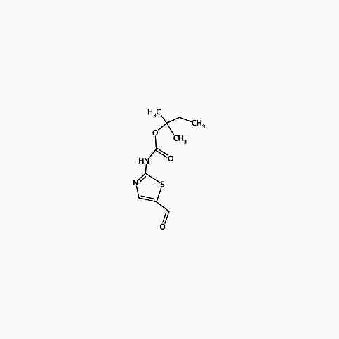 CCC(C)(C)OC(=O)Nc1ncc(C=O)s1